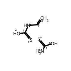 C=CNC(O)=S.NC(O)=S